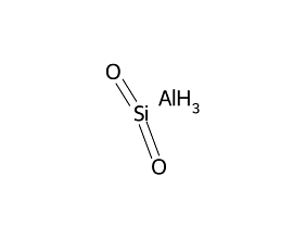 O=[Si]=O.[AlH3]